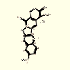 CC[C@@]1(OC(C)=O)C(=O)OCc2c1cc1n(c2=O)Cc2cc3cc(OC)ccc3nc2-1